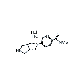 CNC(=O)c1ccc(N2CC3CNCC3C2)cn1.Cl.Cl